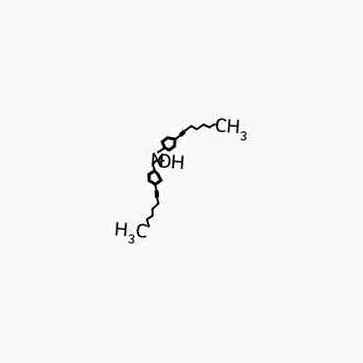 CCCCCCC#Cc1ccc(CN(O)Cc2ccc(C#CCCCCCC)cc2)cc1